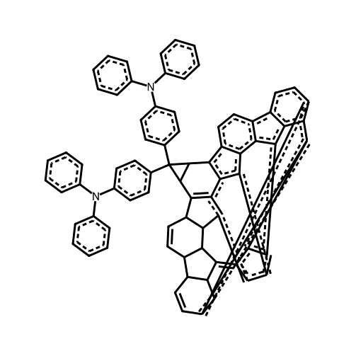 C1=CC2C3C4=c5c6c7c8c9c(c%10ccc%11c%12ccc%13c1c3c1c5c3c6c9c%10c%11c3c%12c%131)C1C(C=8C3C=CC2C4C73)C1(c1ccc(N(c2ccccc2)c2ccccc2)cc1)c1ccc(N(c2ccccc2)c2ccccc2)cc1